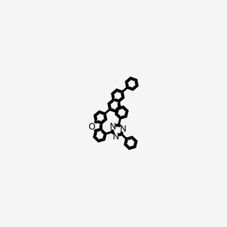 c1ccc(-c2ccc3cc(-c4ccc5oc6cccc(-c7nc(-c8ccccc8)nc(-c8ccccc8)n7)c6c5c4)ccc3c2)cc1